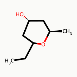 CCC1C[C@H](O)C[C@@H](C)O1